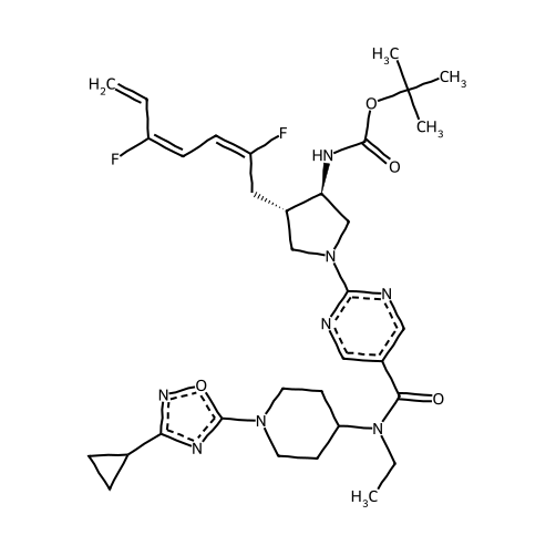 C=C/C(F)=C\C=C(\F)C[C@H]1CN(c2ncc(C(=O)N(CC)C3CCN(c4nc(C5CC5)no4)CC3)cn2)C[C@@H]1NC(=O)OC(C)(C)C